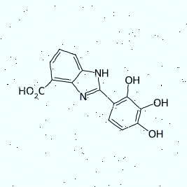 O=C(O)c1cccc2[nH]c(-c3ccc(O)c(O)c3O)nc12